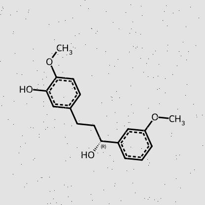 COc1cccc([C@H](O)CCc2ccc(OC)c(O)c2)c1